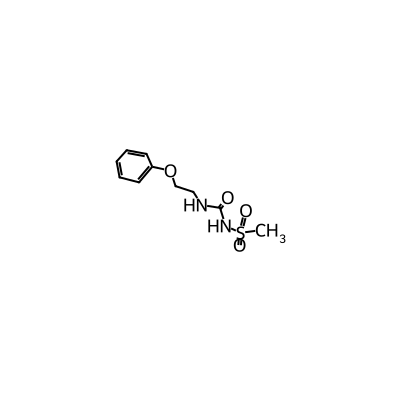 CS(=O)(=O)NC(=O)NCCOc1ccccc1